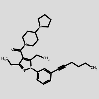 CCCCC#Cc1cccc(-n2nc(CC)c(C(=O)N3CCC(N4CCCC4)CC3)c2CC)c1